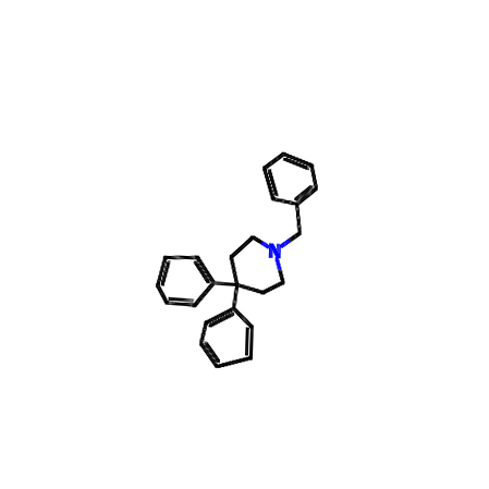 c1ccc(CN2CCC(c3ccccc3)(c3ccccc3)CC2)cc1